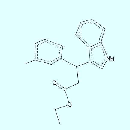 CCOC(=O)CC(c1cccc(C)c1)c1c[nH]c2ccccc12